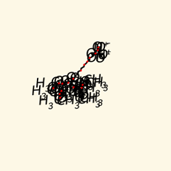 CC1(C)OCC(C)(C(=O)OCC(C)(COC(=O)C2(C)COC(C)(C)OC2)C(=O)OCC(C)(COC(=O)C(C)(COC(=O)C2(C)COC(C)(C)OC2)COC(=O)C2(C)COC(C)(C)OC2)C(=O)OCCCCCCCCCCCOC(=O)c2cc([N+](=O)[O-])cc([N+](=O)[O-])c2)CO1